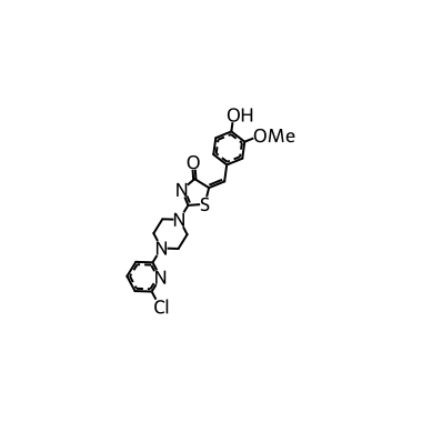 COc1cc(C=C2SC(N3CCN(c4cccc(Cl)n4)CC3)=NC2=O)ccc1O